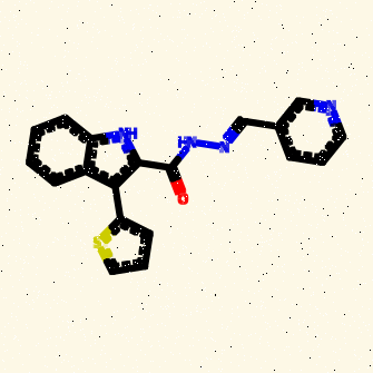 O=C(NN=Cc1cccnc1)c1[nH]c2ccccc2c1-c1cccs1